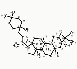 CCC1(C)CCC(O)(CC[C@@H](C)[C@H]2CC[C@H]3[C@@H]4CC[C@H]5C[C@](O)(C(C)(C)O)CC[C@]5(C)[C@H]4CC[C@]23C)CC1